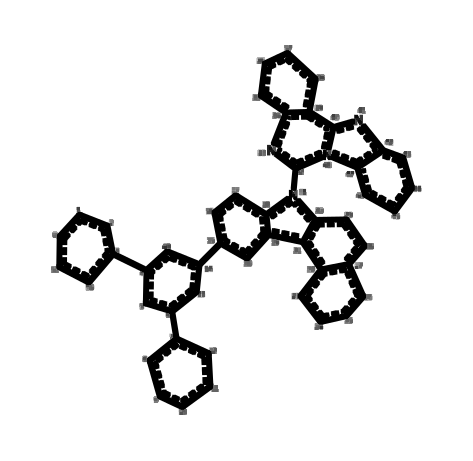 c1ccc(-c2cc(-c3ccccc3)cc(-c3ccc4c(c3)c3c5ccccc5ccc3n4-c3nc4ccccc4c4nc5ccccc5n34)c2)cc1